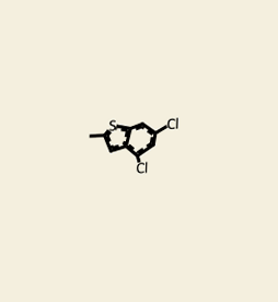 Cc1cc2c(Cl)cc(Cl)cc2s1